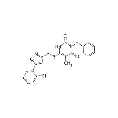 Cc1c(SCc2cc(-c3ccccc3Cl)on2)[nH]c(=O)n(Cc2ccccc2)c1=O